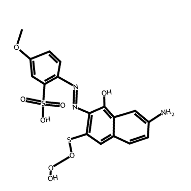 COc1ccc(N=Nc2c(SOOO)cc3ccc(N)cc3c2O)c(S(=O)(=O)O)c1